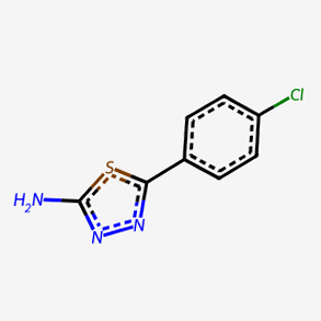 Nc1nnc(-c2ccc(Cl)cc2)s1